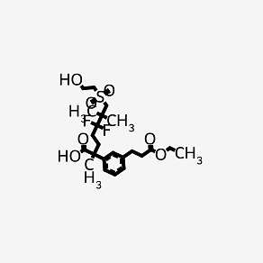 CCOC(=O)CCc1cccc(C(C)(CCC(F)(F)C(C)(C)CS(=O)(=O)CCO)C(=O)O)c1